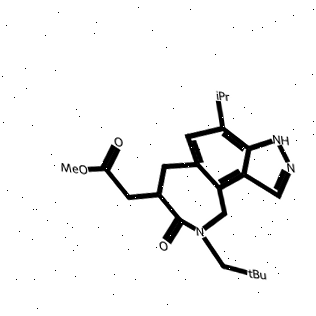 COC(=O)CC1Cc2cc(C(C)C)c3[nH]ncc3c2CN(CC(C)(C)C)C1=O